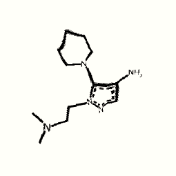 CN(C)CCn1ncc(N)c1N1CCCCC1